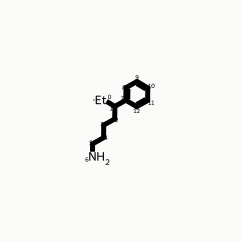 C[CH]C(CCCCN)c1ccccc1